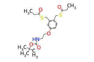 CCC(=O)SCc1ccc(OCCNC(=O)OC(C)(C)C)cc1CSC(=O)CC